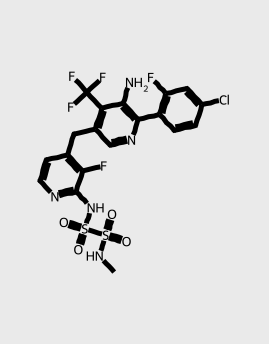 CNS(=O)(=O)S(=O)(=O)Nc1nccc(Cc2cnc(-c3ccc(Cl)cc3F)c(N)c2C(F)(F)F)c1F